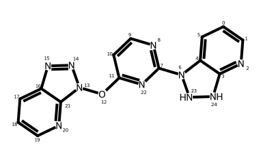 c1cnc2c(c1)N(c1nccc(On3nnc4cccnc43)n1)NN2